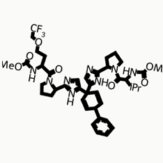 COC(=O)NC(CCOCC(F)(F)F)C(=O)N1CCCC1c1ncc(C2(c3cnc(C4CCCN4C(=O)C(NC(=O)OC)C(C)C)[nH]3)C=CC(c3ccccc3)C=C2)[nH]1